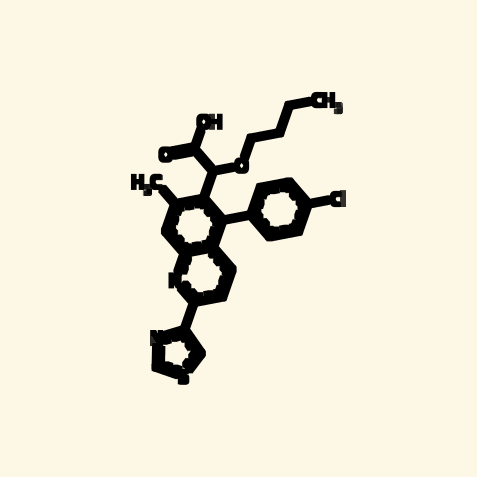 CCCCOC(C(=O)O)c1c(C)cc2nc(-c3cscn3)ccc2c1-c1ccc(Cl)cc1